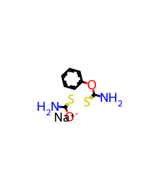 NC(=S)Oc1ccccc1.NC([O-])=S.[Na+]